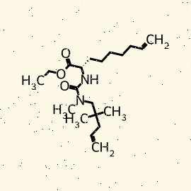 C=CCCCCC[C@H](NC(=O)N(C)CC(C)(C)CC=C)C(=O)OCC